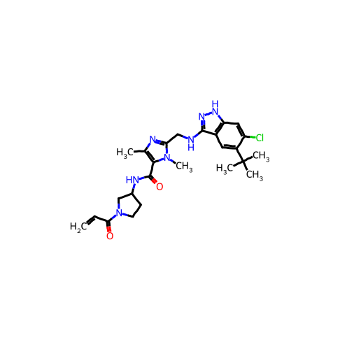 C=CC(=O)N1CCC(NC(=O)c2c(C)nc(CNc3n[nH]c4cc(Cl)c(C(C)(C)C)cc34)n2C)C1